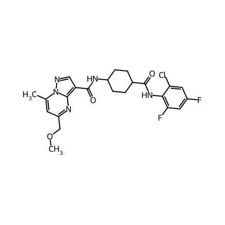 COCc1cc(C)n2ncc(C(=O)NC3CCC(C(=O)Nc4c(F)cc(F)cc4Cl)CC3)c2n1